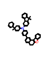 CC1(C2=CCCC=C2)C=CC(N(C2=CC=C3C(C2)c2ccccc2C3(C)C)c2ccc(-c3ccc4c(c3)-c3c(oc5ccccc35)CC4)cc2)=CC1